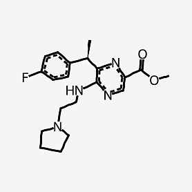 COC(=O)c1cnc(NCCN2CCCC2)c([C@H](C)c2ccc(F)cc2)n1